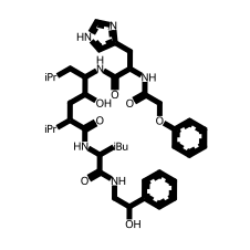 CCC(C)C(NC(=O)C(CC(O)C(CC(C)C)NC(=O)C(Cc1c[nH]cn1)NC(=O)COc1ccccc1)C(C)C)C(=O)NCC(O)c1ccccc1